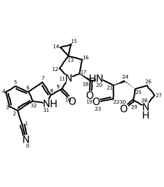 N#Cc1cccc2cc(C(=O)N3CC4(CC4)C[C@H]3C(=O)N[C@H](C=O)C[C@@H]3CCNC3=O)[nH]c12